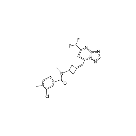 Cc1ccc(C(=O)N(C)C2CC(=Cc3cc(C(F)F)nc4ncnn34)C2)cc1Cl